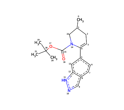 CC1CC=C(c2ccc3cn[nH]c3c2)N(C(=O)OC(C)(C)C)C1